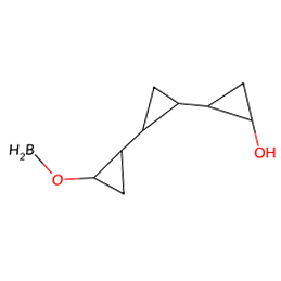 BOC1CC1C1CC1C1CC1O